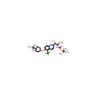 CC(NC(=O)OC(C)(C)C)C(O)c1ccc2c(C(F)(F)F)c(OC3CCC(C(C)(C)C)CC3)ccc2n1